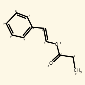 CCC(=O)OC=Cc1ccccc1